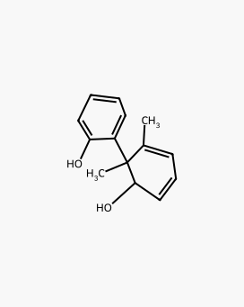 CC1=CC=CC(O)C1(C)c1ccccc1O